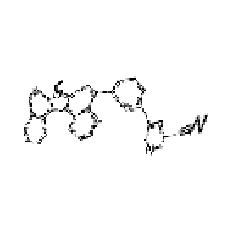 N#Cc1cncc(-c2cccc(-c3cc4sc5ccc6ccccc6c5c4c4ccccc34)c2)c1